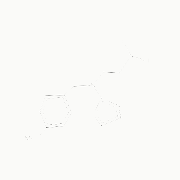 COc1ccc(CN(CCN(C)C)c2nccs2)cc1